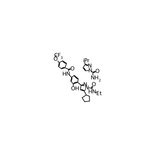 CC(C)c1ccn(C(N)=O)n1.CCNC(=O)n1nc(-c2ccc(NC(=O)c3ccc(OC(F)(F)F)cc3)cc2O)cc1C1CCCC1